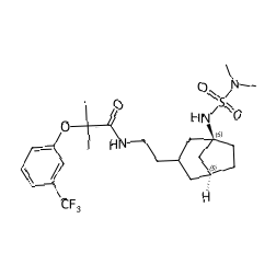 CN(C)S(=O)(=O)N[C@]12CC[C@@H](CC(CCNC(=O)C(C)(C)Oc3cccc(C(F)(F)F)c3)C1)C2